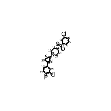 O=S(=O)(c1cccc(Cl)c1)C1CCN(c2nc(-c3ccc(F)c(Cl)c3)cs2)CC1